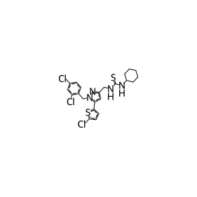 S=C(NCc1cc(-c2ccc(Cl)s2)n(Cc2ccc(Cl)cc2Cl)n1)NC1CCCCC1